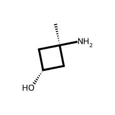 C[C@]1(N)C[C@H](O)C1